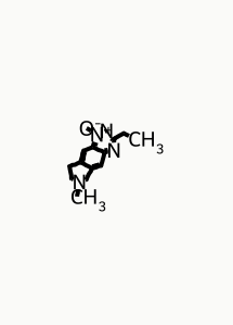 CCc1nc2cc3c(cc2[n+]([O-])n1)CCN(C)C3